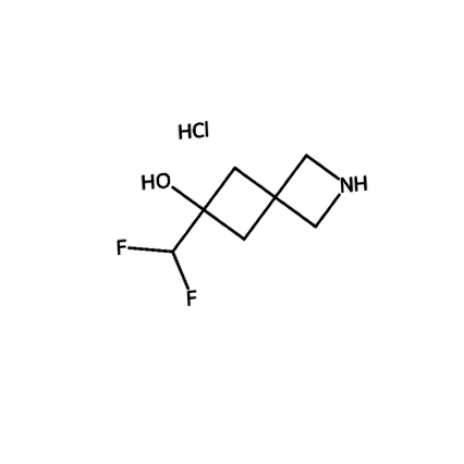 Cl.OC1(C(F)F)CC2(CNC2)C1